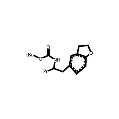 CC(C)C(Cc1ccc2c(c1)CCO2)NC(=O)OC(C)(C)C